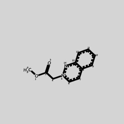 COC(=O)C[n+]1ccc2ccccc2n1